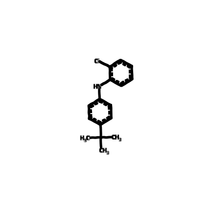 CC(C)(C)c1ccc(Nc2ccccc2Cl)cc1